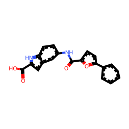 O=C(O)c1cc2cc(NC(=O)c3ccc(-c4ccccc4)o3)ccc2[nH]1